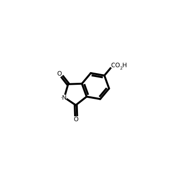 O=C(O)c1ccc2c(c1)C(=O)[N]C2=O